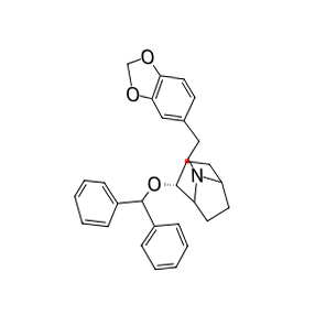 c1ccc(C(O[C@@H]2CCC3CCC2N3CCc2ccc3c(c2)OCO3)c2ccccc2)cc1